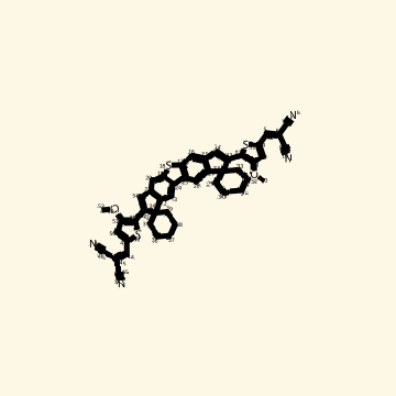 COc1cc(C=C(C#N)C#N)sc1C1=Cc2cc3sc4cc5c(cc4c3cc2C12CCCCC2)C1(CCCCC1)C(c1sc(C=C(C#N)C#N)cc1OC)=C5